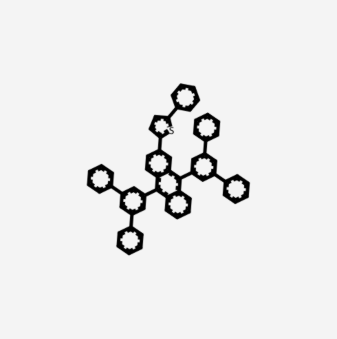 c1ccc(-c2cc(-c3ccccc3)cc(-c3c4ccccc4c(-c4cc(-c5ccccc5)cc(-c5ccccc5)c4)c4cc(-c5ccc(-c6ccccc6)s5)ccc34)c2)cc1